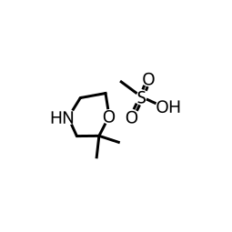 CC1(C)CNCCO1.CS(=O)(=O)O